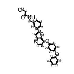 O=C(CCl)NCc1cccc(-c2cc3nccc(Oc4ccc(Oc5ccccc5)cc4)c3o2)c1